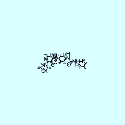 O=C(NCc1cccnc1)Nc1ccc(S(=O)(=O)c2ccnc(N3CCOCC3)c2Cl)cc1